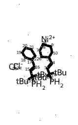 CC(C)(C)C(P)(C=CC1CCCCC1)C(C)(C)C.CC(C)(C)C(P)(C=CC1CCCCC1)C(C)(C)C.[Cl-].[Cl-].[Ni+2]